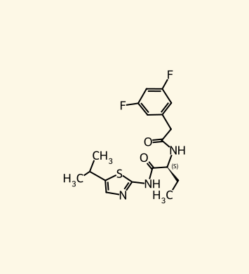 CC[C@H](NC(=O)Cc1cc(F)cc(F)c1)C(=O)Nc1ncc(C(C)C)s1